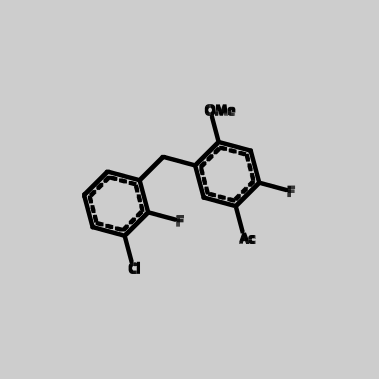 COc1cc(F)c(C(C)=O)cc1Cc1cccc(Cl)c1F